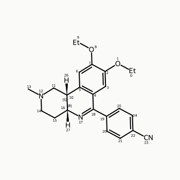 CCOc1cc2c(cc1OCC)[C@H]1CN(C)CC[C@H]1N=C2c1ccc(C#N)cc1